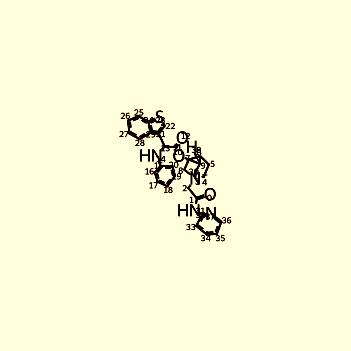 O=C(C[N+]12CCC(CC1)[C@@H](OC(=O)C(Nc1ccccc1)c1csc3ccccc13)C2)Nc1ccccn1